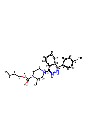 CCCCOC(=O)N1CCN(c2nnc(-c3ccc(F)cc3)c3ccccc23)CC1C